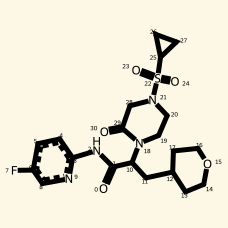 O=C(Nc1ccc(F)cn1)C(CC1CCOCC1)N1CCN(S(=O)(=O)C2CC2)CC1=O